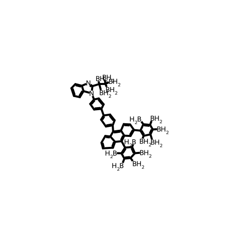 Bc1c(B)c(B)c(-c2ccc3c(-c4ccc(-c5ccc(-n6c(C(B)(B)C(B)(B)B)nc7ccccc76)cc5)cc4)c4ccccc4c(-c4c(B)c(B)c(B)c(B)c4B)c3c2)c(B)c1B